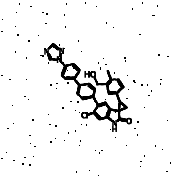 Cc1ccc(C2CC23C(=O)Nc2cc(Cl)c(-c4ccc(-c5ccc(-n6cncn6)cc5)cc4)cc23)cc1CO